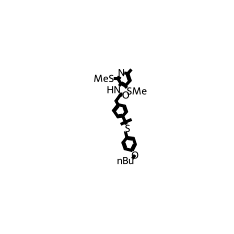 CCCCOc1ccc(CSC(C)(C)c2ccc(CC(=O)Nc3c(SC)cc(C)nc3SC)cc2)cc1